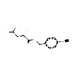 CC(C)C[C@H](N)C(=O)NCc1ccc(C#N)cc1